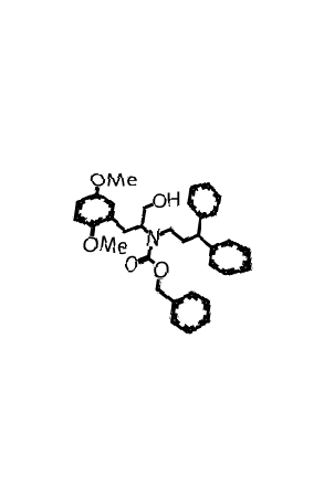 COc1ccc(OC)c(CC(CO)N(CCC(c2ccccc2)c2ccccc2)C(=O)OCc2ccccc2)c1